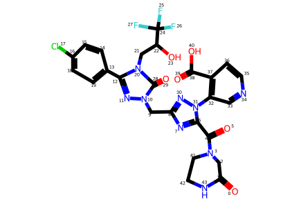 O=C1CN(C(=O)c2nc(Cn3nc(-c4ccc(Cl)cc4)n(CC(O)C(F)(F)F)c3=O)nn2-c2cnccc2C(=O)O)CCN1